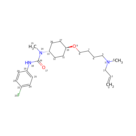 C=CCN(C)CCCCO[C@H]1CC[C@H](N(C)C(=O)Nc2ccc(F)cc2)CC1